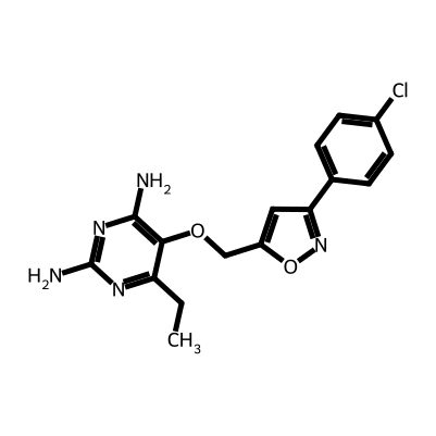 CCc1nc(N)nc(N)c1OCc1cc(-c2ccc(Cl)cc2)no1